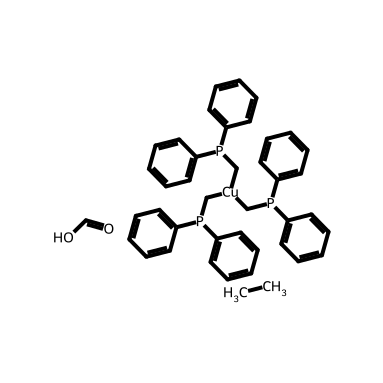 CC.O=CO.c1ccc(P([CH2][Cu]([CH2]P(c2ccccc2)c2ccccc2)[CH2]P(c2ccccc2)c2ccccc2)c2ccccc2)cc1